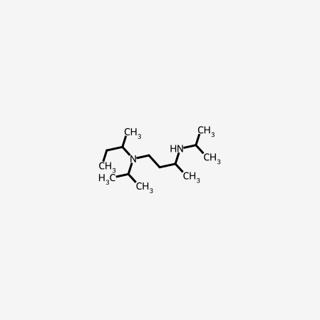 CCC(C)N(CCC(C)NC(C)C)C(C)C